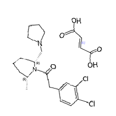 C[C@@H]1CCC[C@H](CN2CCCC2)N1C(=O)Cc1ccc(Cl)c(Cl)c1.O=C(O)/C=C/C(=O)O